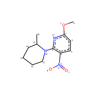 COc1ccc([N+](=O)[O-])c(N2CCCCC2C)n1